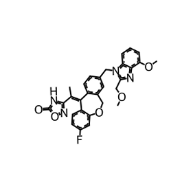 COCc1nc2c(OC)cccc2n1Cc1ccc2c(c1)COc1cc(F)ccc1/C2=C(/C)c1noc(=O)[nH]1